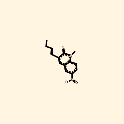 CC/C=C/c1cc2cc([N+](=O)[O-])ccc2n(C)c1=O